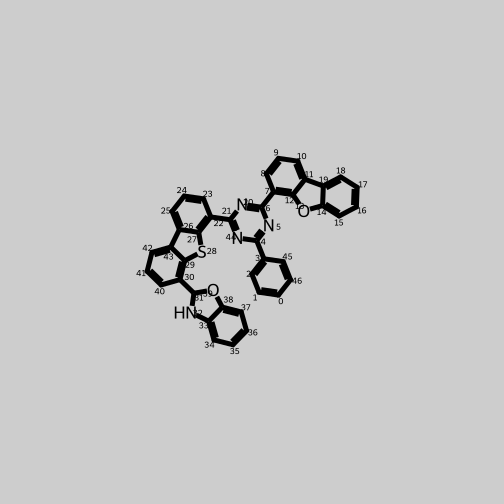 c1ccc(-c2nc(-c3cccc4c3oc3ccccc34)nc(-c3cccc4c3sc3c(C5Nc6ccccc6O5)cccc34)n2)cc1